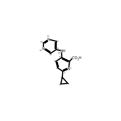 O=C(O)c1nc(C2CC2)ccc1Nc1cncnc1